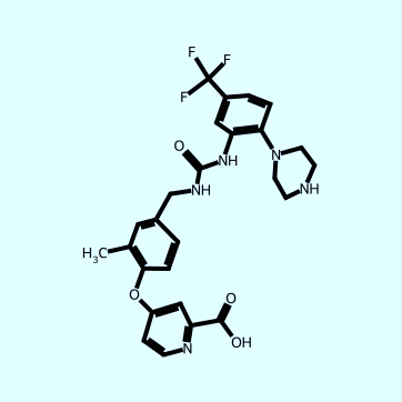 Cc1cc(CNC(=O)Nc2cc(C(F)(F)F)ccc2N2CCNCC2)ccc1Oc1ccnc(C(=O)O)c1